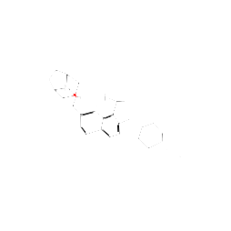 O=C(O)C1CC2CCC(C1)N2CCc1ccc2ccc(O[C@H]3CC[C@@H](C(F)(F)F)CC3)c(C(F)F)c2c1